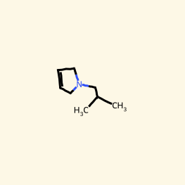 C[C](C)CN1CC=CC1